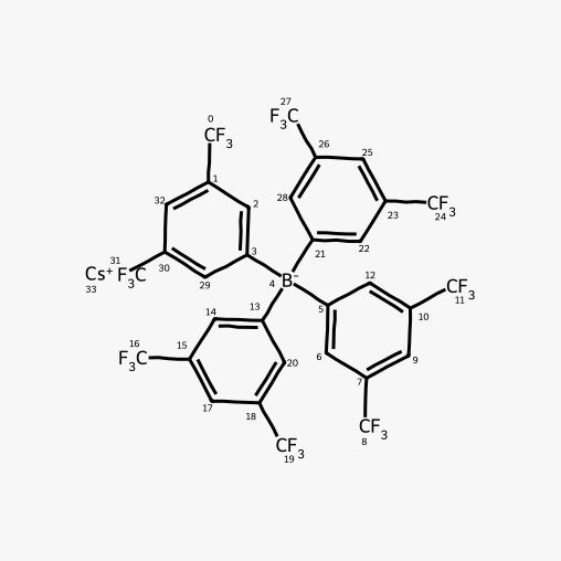 FC(F)(F)c1cc([B-](c2cc(C(F)(F)F)cc(C(F)(F)F)c2)(c2cc(C(F)(F)F)cc(C(F)(F)F)c2)c2cc(C(F)(F)F)cc(C(F)(F)F)c2)cc(C(F)(F)F)c1.[Cs+]